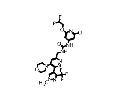 Cn1cc(-c2nnc(CNC(=O)Nc3cc(Cl)nc(OCC(F)F)c3)cc2N2CCOCC2)c(C(F)(F)F)n1